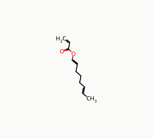 C=CC(=O)OC=CCCCC=CC